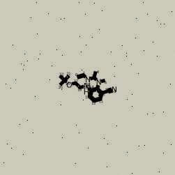 C=CNC(C)N(C)c1c(C#N)cccc1NCCOC(C)(C)C